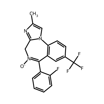 Cc1cn2c(n1)C[N+]([O-])=C(c1ccccc1F)c1cc(C(F)(F)F)ccc1-2